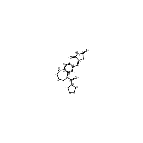 O=C1NC(=S)SC1=Cc1ccc2c(c1)N(C(=O)C1CCCC1)CCCO2